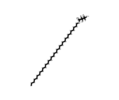 CCCCCCCCCCCCCCCCCCCCCCCCCCCCCCCCCCOC(=O)C(F)(F)C(F)(F)F